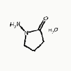 NN1CCCC1=O.O